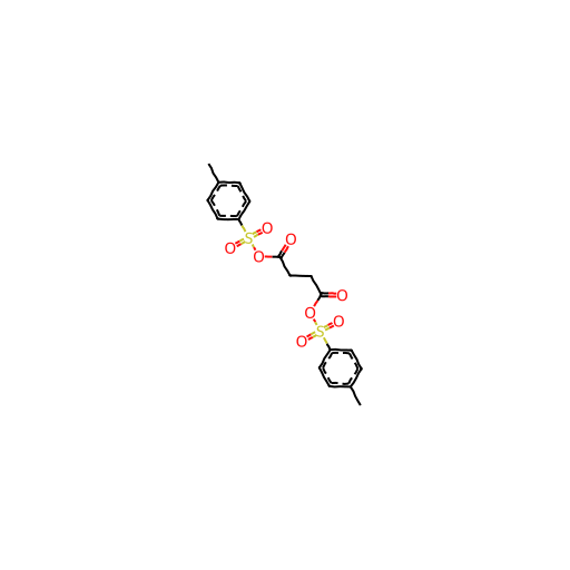 Cc1ccc(S(=O)(=O)OC(=O)CCC(=O)OS(=O)(=O)c2ccc(C)cc2)cc1